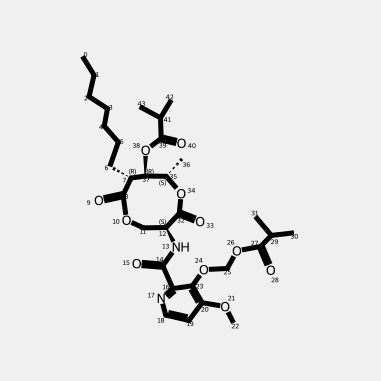 CCCCCCC[C@H]1C(=O)OC[C@H](NC(=O)c2nccc(OC)c2OCOC(=O)C(C)C)C(=O)O[C@@H](C)[C@@H]1OC(=O)C(C)C